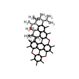 BBB(B(B)B)c1c(B(B(B)B)B(B)B)c(C)c2c(C)c(C)c(-c3c4c(C)c(C)c(C)c(C)c4c(-c4c(C)c(C)c(C)c(C)c4C)c4c(C)c(C)c(C)c(C)c34)c(B(B)B)c2c1B(B)B(B)B